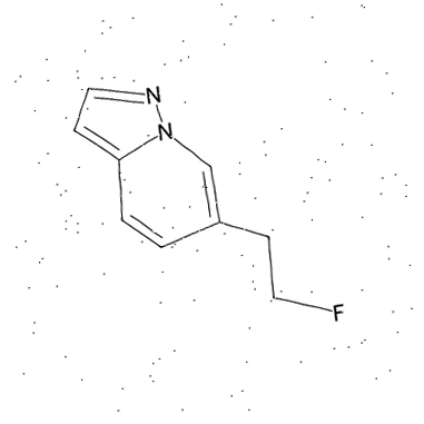 FCCc1ccc2ccnn2c1